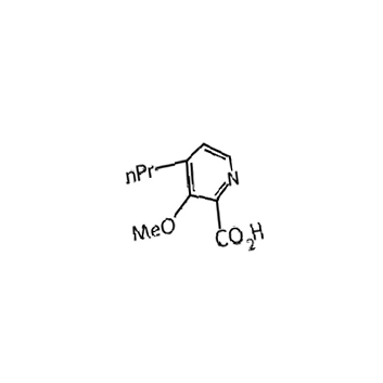 CCCc1ccnc(C(=O)O)c1OC